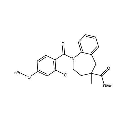 CCCOc1ccc(C(=O)N2CCC(C)(C(=O)OC)Cc3ccccc32)c(Cl)c1